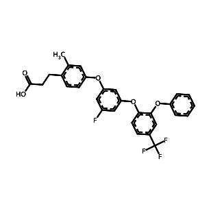 Cc1cc(Oc2cc(F)cc(Oc3ccc(C(F)(F)F)cc3Oc3ccccc3)c2)ccc1CCC(=O)O